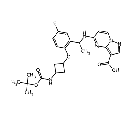 CC(Nc1ccn2ncc(C(=O)O)c2n1)c1cc(F)ccc1OC1CC(NC(=O)OC(C)(C)C)C1